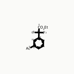 CCOC(=O)C(F)(F)c1cccc(C(C)=O)c1